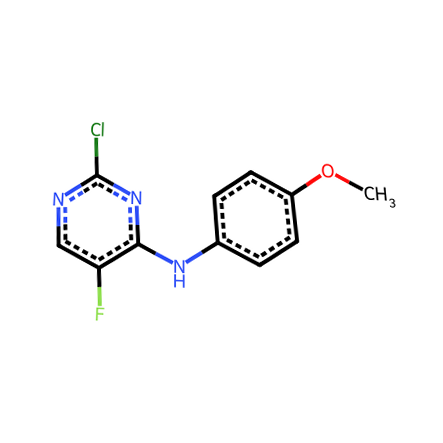 COc1ccc(Nc2nc(Cl)ncc2F)cc1